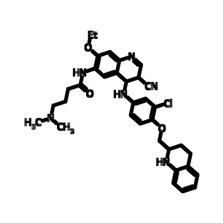 CCOc1cc2c(cc1NC(=O)CCCN(C)C)C(Nc1ccc(OCC3CCc4ccccc4N3)c(Cl)c1)C(C#N)C=N2